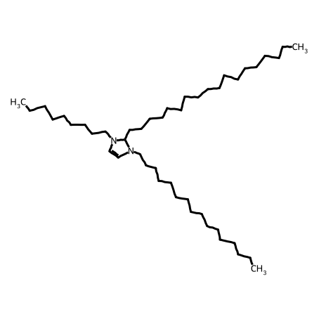 CCCCCCCCCCCCCCCCCCC1N(CCCCCCCCC)C=CN1CCCCCCCCCCCCCCCC